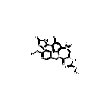 CC(C)Oc1ccc(CN2C(=O)[C@@H](NC(=O)OC(C)(C)C)CS(=O)(=O)c3cc(F)c(-c4noc(=O)[nH]4)cc32)cn1